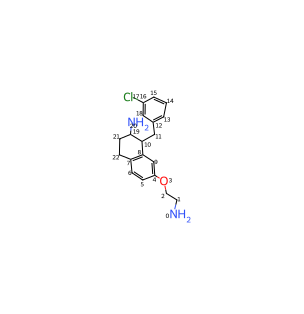 NCCOc1ccc2c(c1)C(Cc1cccc(Cl)c1)C(N)CC2